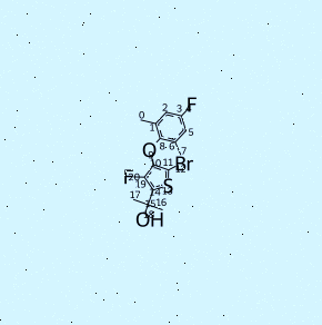 Cc1cc(F)cc(C)c1Oc1c(Br)sc(C(C)(C)O)c1F